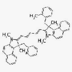 Cc1ccccc1CC1(C)C(/C=C/C=C/C=C2/N(C)c3ccc4ccccc4c3C2(C)Cc2ccccc2)=[N+](C)c2ccc3ccccc3c21